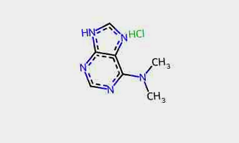 CN(C)c1ncnc2[nH]cnc12.Cl